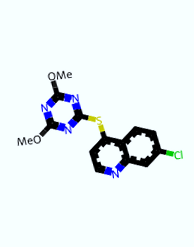 COc1nc(OC)nc(Sc2ccnc3cc(Cl)ccc23)n1